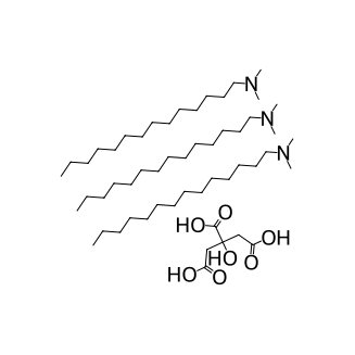 CCCCCCCCCCCCCCN(C)C.CCCCCCCCCCCCCCN(C)C.CCCCCCCCCCCCCCN(C)C.O=C(O)CC(O)(CC(=O)O)C(=O)O